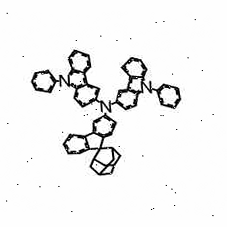 c1ccc(-n2c3ccccc3c3cc(N(c4ccc5c(c4)-c4ccccc4C54C5CC6CC(C5)CC4C6)c4ccc5c(c4)c4ccccc4n5-c4ccccc4)ccc32)cc1